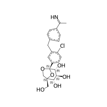 CC(=N)c1ccc(Cc2cc([C@]34OC[C@](CO)(O3)[C@@H](O)[C@H](O)[C@H]4O)ccc2Cl)cc1